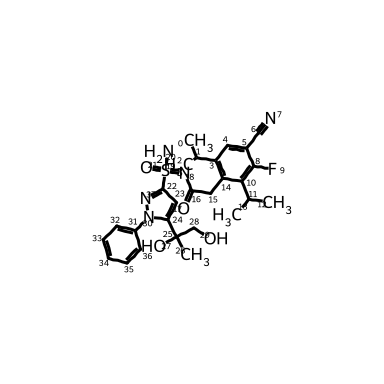 CC(C)c1cc(C#N)c(F)c(C(C)C)c1CC(=O)N=S(N)(=O)c1cc(C(C)(O)CO)n(-c2ccccc2)n1